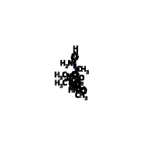 CCC(CCO)N(CC)c1cc(/C(C)=C/C=C(\N)N2CCNCC2)cc(C(=O)NCc2c3c(c(C)[nH]c2=O)CCCC3)c1C